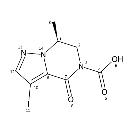 C[C@H]1CN(C(=O)O)C(=O)c2c(I)cnn21